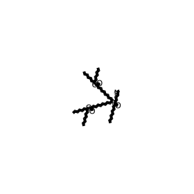 CCCCCCCCC(=O)N(CCCN(C)C)C(CCCCCCCCC(=O)OC(CCCCCC)CCCCCC)CCCCCCCCC(=O)OC(CCCCCC)CCCCCCC